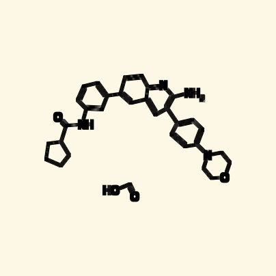 Nc1nc2ccc(-c3cccc(NC(=O)C4CCCC4)c3)cc2cc1-c1ccc(N2CCOCC2)cc1.O=CO